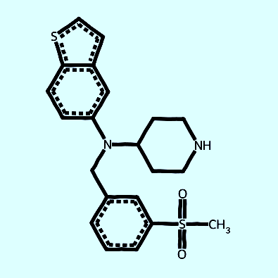 CS(=O)(=O)c1cccc(CN(c2ccc3sccc3c2)C2CCNCC2)c1